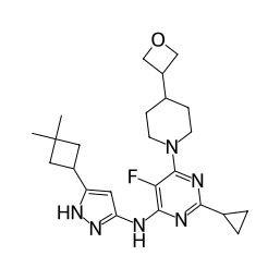 CC1(C)CC(c2cc(Nc3nc(C4CC4)nc(N4CCC(C5COC5)CC4)c3F)n[nH]2)C1